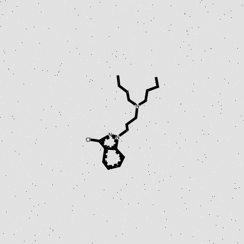 CCCCN(CCCC)CCCn1nc(Cl)c2ccccc21